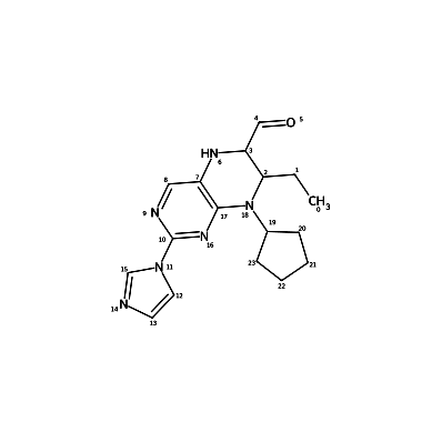 CCC1C(C=O)Nc2cnc(-n3ccnc3)nc2N1C1CCCC1